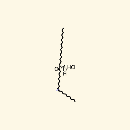 CCCCCCCC/C=C\CCCCCCCC(=O)N(CCCCCCCCCCCCCCCC)C(C)O.Cl